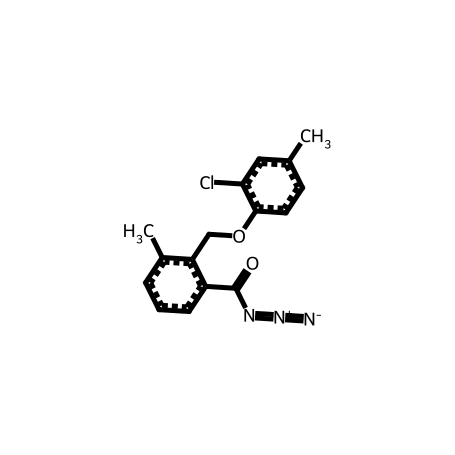 Cc1ccc(OCc2c(C)cccc2C(=O)N=[N+]=[N-])c(Cl)c1